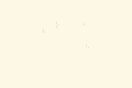 CCCOC(CCCCC#N)C(OCCC#N)C(CCCCC#N)OCCC#N